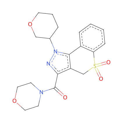 O=C(c1nn(C2CCCOC2)c2c1CS(=O)(=O)c1ccccc1-2)N1CCOCC1